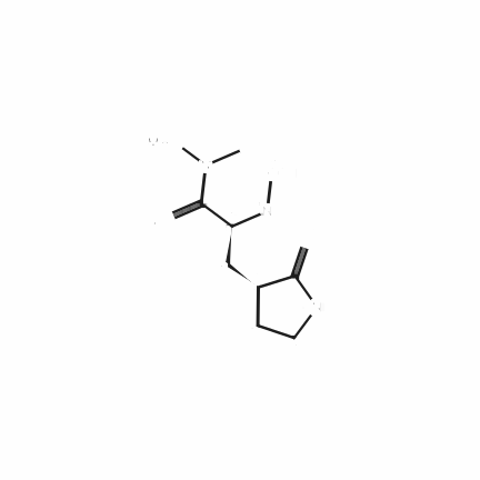 CON(C)C(=O)[C@H](C[C@@H]1CCNC1=O)NC(=O)O